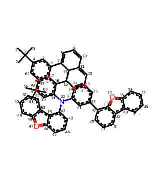 CC(C)(C)c1cc(C2=CC=CC3=CC=CC(c4ccccc4N(c4cccc(-c5cccc6c5oc5ccccc56)c4)c4cccc5oc6ccccc6c45)C32)cc(C(C)(C)C)c1